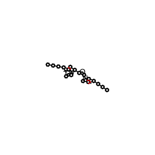 CC1(C)c2cc(-c3ccc(-c4ccc(-c5ccccc5)cc4)cc3)ccc2-c2ccc(N(c3ccc4oc5cc(-c6ccc(-c7ccccc7)c(N(c7ccc8c(c7)C(C)(C)c7cc(-c9ccc(-c%10ccc(-c%11ccccc%11)cc%10)cc9)ccc7-8)c7cccc8c7oc7ccccc78)c6)ccc5c4c3)c3ccccc3-c3ccccc3)cc21